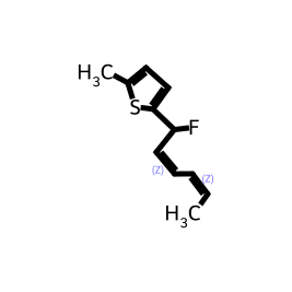 C/C=C\C=C/C(F)c1ccc(C)s1